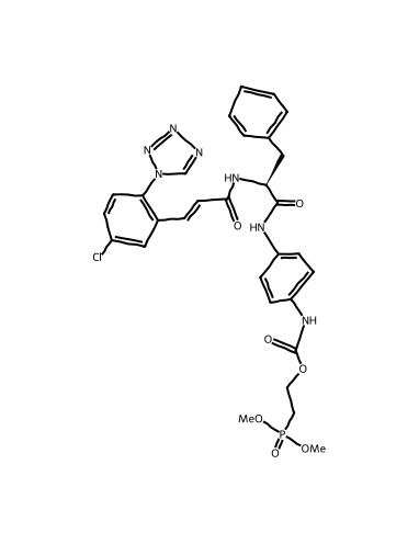 COP(=O)(CCOC(=O)Nc1ccc(NC(=O)[C@H](Cc2ccccc2)NC(=O)C=Cc2cc(Cl)ccc2-n2cnnn2)cc1)OC